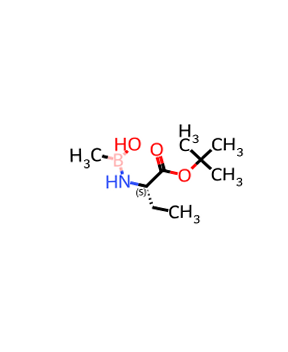 CC[C@H](NB(C)O)C(=O)OC(C)(C)C